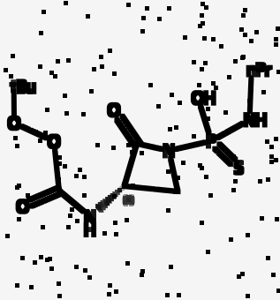 CCCNP(O)(=S)N1C[C@H](NC(=O)OOC(C)(C)C)C1=O